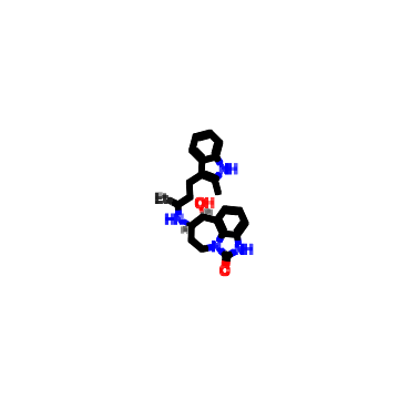 CCC(CCc1c(C)[nH]c2ccccc12)N[C@@H]1CCn2c(=O)[nH]c3cccc(c32)[C@H]1O